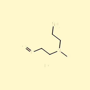 CN(CCN)CCP=O.Cl